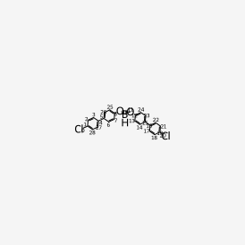 Clc1ccc(-c2ccc(OBOc3ccc(-c4ccc(Cl)cc4)cc3)cc2)cc1